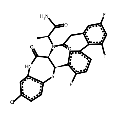 C[C@@H](C(N)=O)N(C(=O)Cc1cc(F)cc(F)c1)[C@@H]1C(=O)Nc2cc(Cl)ccc2S[C@@H]1c1cc(F)ccc1F